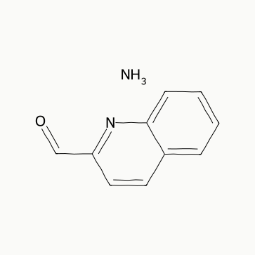 N.O=Cc1ccc2ccccc2n1